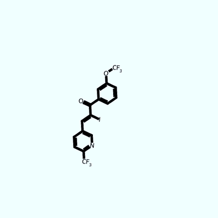 O=C(C(I)=Cc1ccc(C(F)(F)F)nc1)c1cccc(OC(F)(F)F)c1